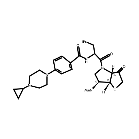 CN[C@H]1CN(C(=O)C(CC(C)C)NC(=O)c2ccc(N3CCN(C4CC4)CC3)cc2)[C@@H]2C(=O)CO[C@H]12